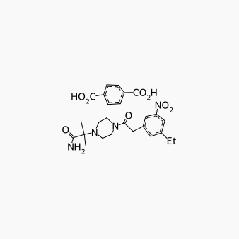 CCc1cc(CC(=O)N2CCN(C(C)(C)C(N)=O)CC2)cc([N+](=O)[O-])c1.O=C(O)c1ccc(C(=O)O)cc1